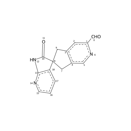 O=Cc1cc2c(cn1)CC1(C2)C(=O)Nc2ncccc21